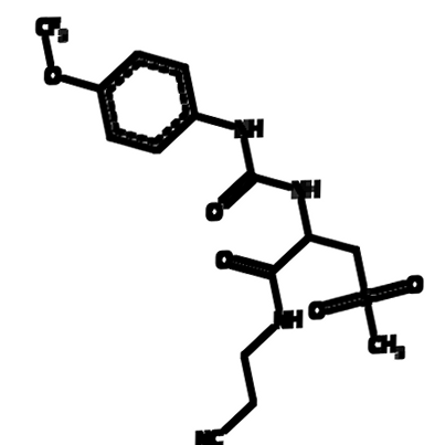 CS(=O)(=O)CC(NC(=O)Nc1ccc(OC(F)(F)F)cc1)C(=O)NCCC#N